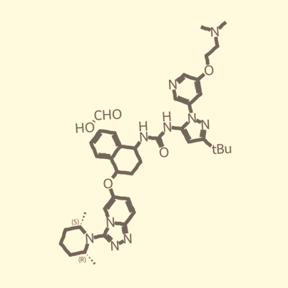 C[C@@H]1CCC[C@H](C)N1c1nnc2ccc(OC3CCC(NC(=O)Nc4cc(C(C)(C)C)nn4-c4cncc(OCCN(C)C)c4)c4ccccc43)cn12.O=CO